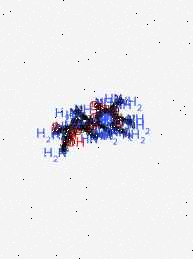 N=C(N)NCCC[C@H](NC(=O)[C@H](CCC(N)=O)NC(=O)[C@H](CCCNC(=N)N)NC(=O)[C@H](CCCNC(=N)N)NC(=O)[C@@H](N)CCCCN)C(=O)N[C@@H](CCCNC(=N)N)C(=O)N[C@@H](CCCNC(=N)N)C(=O)N1CCC[C@H]1C(=O)N[C@@H](CCC(N)=O)C(=O)N[C@@H](CCCCN)C(=O)O